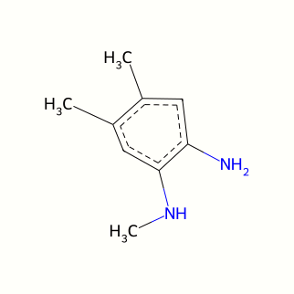 CNc1cc(C)c(C)cc1N